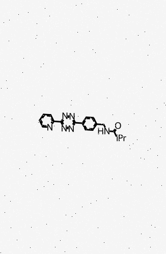 CC(C)C(=O)NCc1ccc(-c2nnc(-c3ccccn3)nn2)cc1